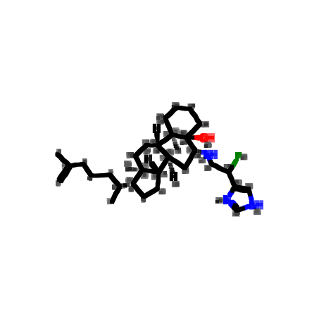 C=C(C)CCCC(C)[C@H]1CC[C@H]2[C@@H]3C[C@@H](NCC(F)c4c[nH]cn4)[C@@]4(O)CCCC[C@]4(C)[C@H]3CC[C@]12C